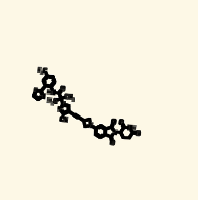 CC(C)(C(=O)Nc1ccc(C(F)(F)F)cc1-c1nccs1)n1cc(C#CC2CN(c3ccc4c(c3)C(=O)N(C3CCC(=O)NC3=O)C4=O)C2)c(C#N)n1